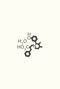 CC1CCN(CC(Cc2ccccc2)C(=O)O)C(c2cccc(O)c2)C1C.O